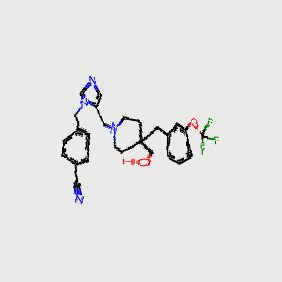 N#Cc1ccc(Cn2cncc2CN2CCC(CO)(Cc3cccc(OC(F)(F)F)c3)CC2)cc1